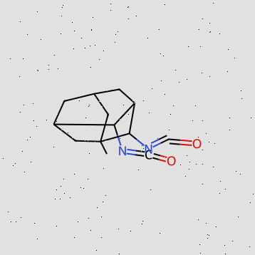 CC12CC3CC(C1)C(N=C=O)C(C3)C2N=C=O